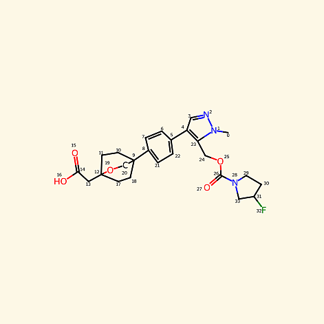 Cn1ncc(-c2ccc(C34CCC(CC(=O)O)(CC3)OC4)cc2)c1COC(=O)N1CCC(F)C1